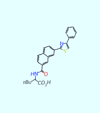 CCCCC(NC(=O)c1ccc2ccc(-c3nc(-c4ccccc4)cs3)cc2c1)C(=O)O